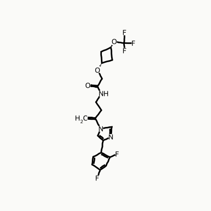 C=C(CCNC(=O)CO[C@H]1C[C@@H](OC(F)(F)F)C1)n1cnc(-c2ccc(F)cc2F)c1